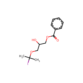 CC(C)(I)OCC(O)COC(=O)c1ccccc1